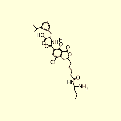 CCCC(N)NC(=O)CCCCC1Cc2c(Cl)cc(C(=O)N[C@@H](Cc3cccc(C(C)C)c3)C(=O)O)c(O)c2C(=O)O1